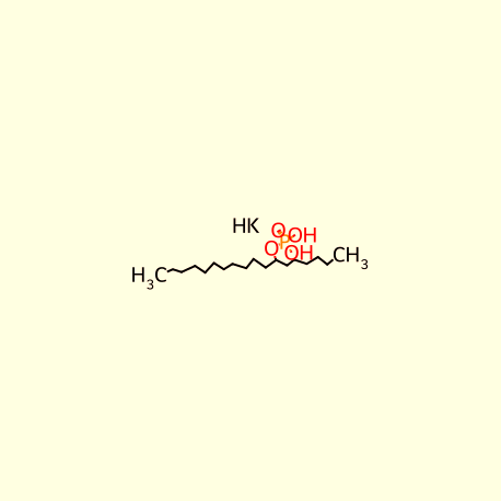 CCCCCCCCCCCC(CCCCCC)OP(=O)(O)O.[KH]